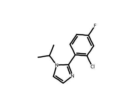 CC(C)n1ccnc1-c1ccc(F)cc1Cl